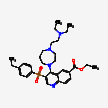 CCOC(=O)c1ccc2ncc(S(=O)(=O)c3ccc(CC)cc3)c(N3CCCN(CCN(CC)CC)CC3)c2c1